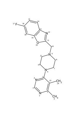 Cc1ncnc(N2CCN(Cc3nc4ccc(F)cc4o3)CC2)c1C